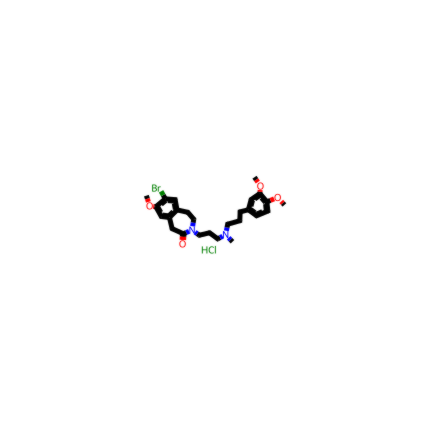 COc1cc2c(cc1Br)CCN(CCCN(C)CCCc1ccc(OC)c(OC)c1)C(=O)C2.Cl